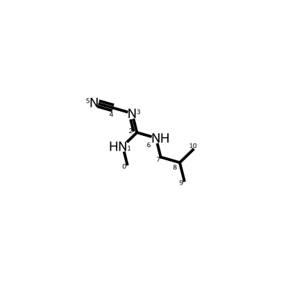 CN/C(=N\C#N)NCC(C)C